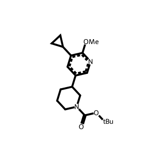 COc1ncc(C2CCCN(C(=O)OC(C)(C)C)C2)cc1C1CC1